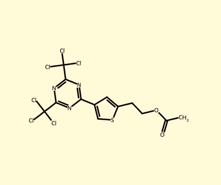 CC(=O)OCCc1cc(-c2nc(C(Cl)(Cl)Cl)nc(C(Cl)(Cl)Cl)n2)cs1